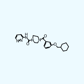 O=C(Nc1cccnn1)N1CCN(C(=O)c2cccc(OCC3CCCCC3)c2)CC1